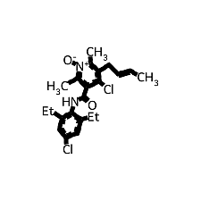 C/C=C/Cc1c(Cl)c(C(=O)Nc2c(CC)cc(Cl)cc2CC)c(C)[n+]([O-])c1C